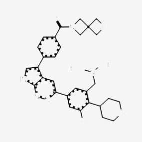 Cc1cc(-c2cc3c(-c4ccc(C(=O)N5CC6(COC6)C5)cc4)c[nH]c3nn2)cc(CN(C)C)c1C1CCOCC1